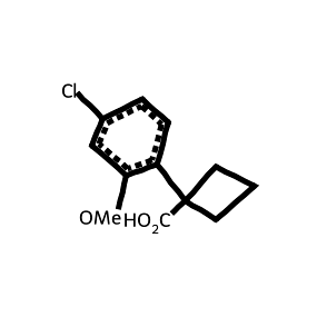 COc1cc(Cl)ccc1C1(C(=O)O)CCC1